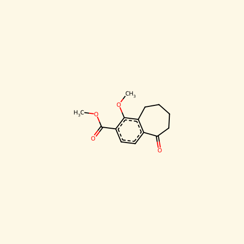 COC(=O)c1ccc2c(c1OC)CCCCC2=O